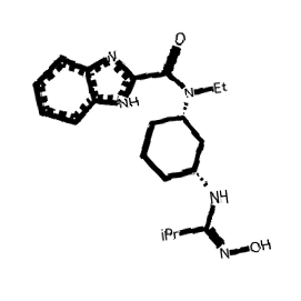 CCN(C(=O)c1nc2ccccc2[nH]1)[C@H]1CCC[C@@H](N/C(=N\O)C(C)C)C1